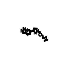 C[Si](C)(C)CCOCn1ccc(-c2ccc3cnnn3c2)n1